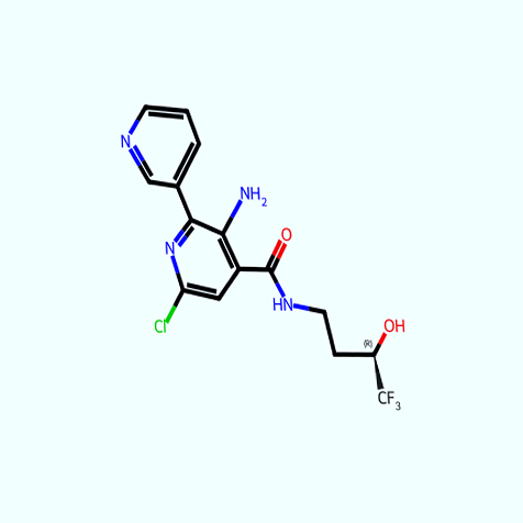 Nc1c(C(=O)NCC[C@@H](O)C(F)(F)F)cc(Cl)nc1-c1cccnc1